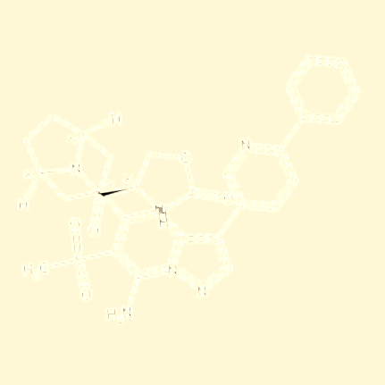 CS(=O)(=O)c1c([C@@H]2C[C@H]3CC[C@@H](C2)N3C(=O)[C@H]2COC(=O)N2)nc2c(-c3ccc(-c4ccccc4)nc3)cnn2c1N